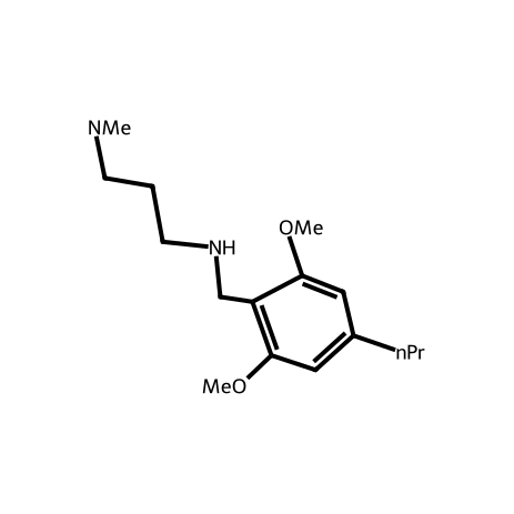 CCCc1cc(OC)c(CNCCCNC)c(OC)c1